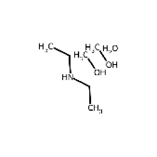 CCNCC.CO.CO.O